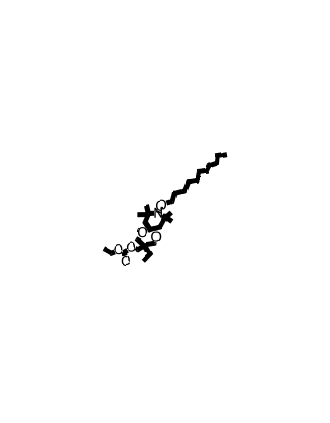 CCCCCCCCCCCON1C(C)(C)CC2(CC1(C)C)OCC(CC)(COC(=O)OCC)CO2